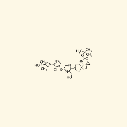 CC(C)(C)OC(=O)N[C@H]1C2(CCN(c3ncc(Sc4ccnc(N5CC(C(C)(C)O)C5)c4Cl)nc3CO)CC2)CCC12CC2